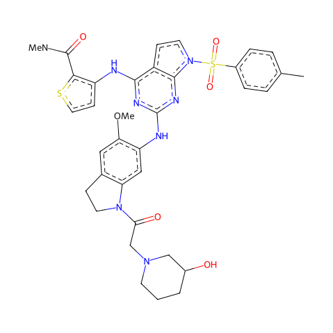 CNC(=O)c1sccc1Nc1nc(Nc2cc3c(cc2OC)CCN3C(=O)CN2CCCC(O)C2)nc2c1ccn2S(=O)(=O)c1ccc(C)cc1